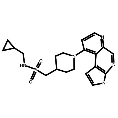 O=S(=O)(CC1CCN(c2ccnc3cnc4[nH]ccc4c23)CC1)NCC1CC1